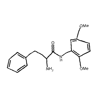 COc1ccc(OC)c(NC(=O)C(N)Cc2ccccc2)c1